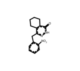 O=c1[nH]nc(Cc2ccccc2[N+](=O)[O-])c2c1CCCC2